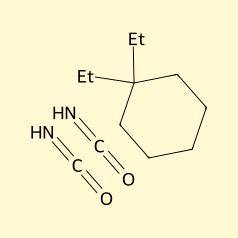 CCC1(CC)CCCCC1.N=C=O.N=C=O